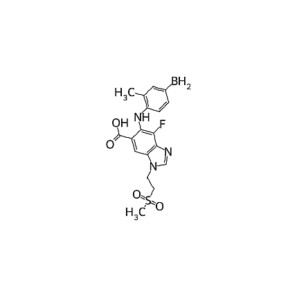 Bc1ccc(Nc2c(C(=O)O)cc3c(ncn3CCS(C)(=O)=O)c2F)c(C)c1